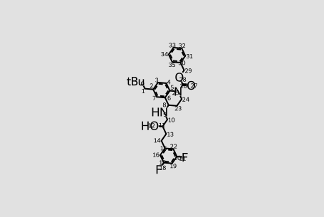 CC(C)(C)Cc1ccc2c(c1)C(NCC(O)CCc1cc(F)cc(F)c1)CCN2C(=O)OCc1ccccc1